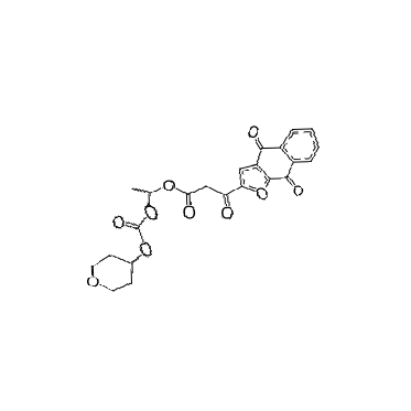 CC(OC(=O)CC(=O)c1cc2c(o1)C(=O)c1ccccc1C2=O)OC(=O)OC1CCOCC1